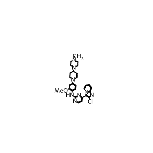 COc1cc(N2CCC(N3CCN(C)CC3)CC2)ccc1Nc1nccc(-c2c(Cl)nc3ccccn23)n1